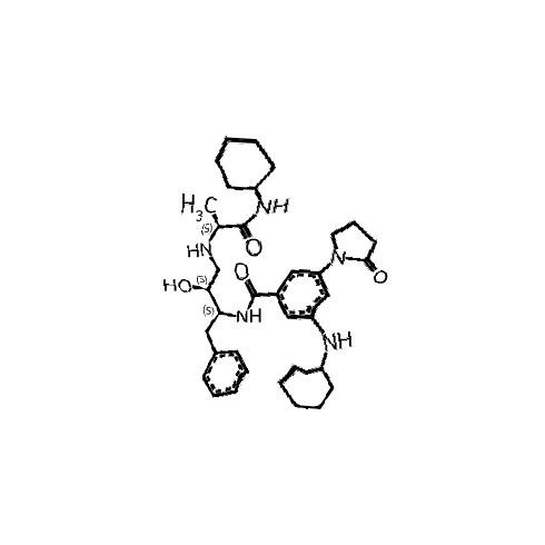 C[C@H](NC[C@H](O)[C@H](Cc1ccccc1)NC(=O)c1cc(NC2CCCCC2)cc(N2CCCC2=O)c1)C(=O)NC1CCCCC1